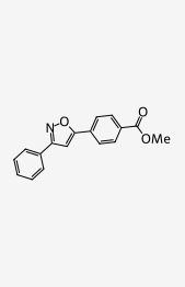 COC(=O)c1ccc(-c2cc(-c3ccccc3)no2)cc1